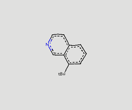 CC(C)(C)c1cccc2ccncc12